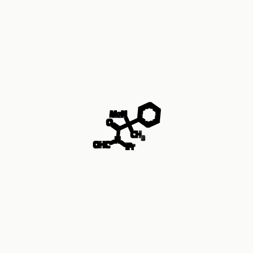 CNC(C)(C(=O)N(C=O)C(C)C)c1ccccc1